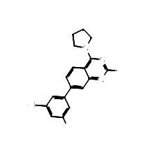 Cc1nc(N2CCCC2)c2ccc(-c3cc(Cl)cc(Cl)c3)cc2n1